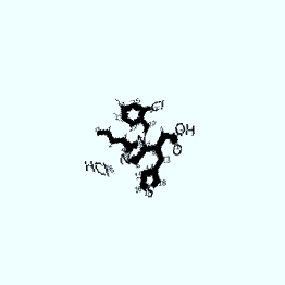 CCCCc1ncc(C(=CC(=O)O)Cc2ccsc2)n1Cc1ccccc1Cl.Cl